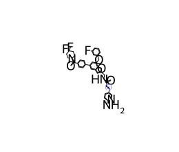 Nc1ccc(/C=C/C(=O)NCc2cc3cc(-c4ccc(C(=O)N5CCC(F)(F)CC5)cc4)cc(Oc4cccc(F)c4)c3o2)cn1